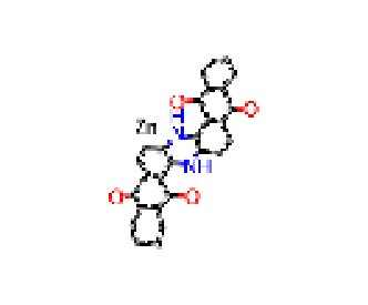 O=c1c2ccccc2c(=O)c2c1ccc1[nH]c3c(ccc4c(=O)c5ccccc5c(=O)c43)[nH]c12.[Zn]